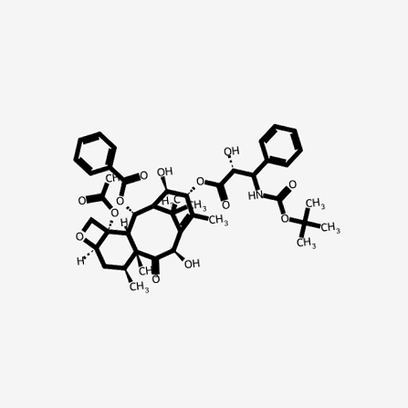 CC(=O)O[C@@]12CO[C@@H]1C[C@H](C)[C@@]1(C)C(=O)[C@H](O)C3=C(C)[C@@H](OC(=O)[C@H](O)C(NC(=O)OC(C)(C)C)c4ccccc4)[C@H](O)C([C@@H](OC(=O)c4ccccc4)[C@H]21)C3(C)C